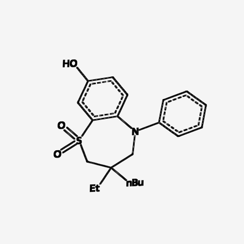 CCCCC1(CC)CN(c2ccccc2)c2ccc(O)cc2S(=O)(=O)C1